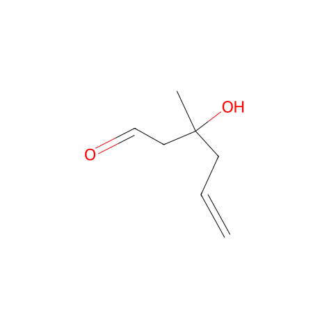 C=CCC(C)(O)CC=O